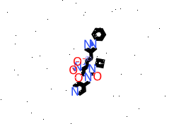 O=c1c([N+](=O)[O-])c(/C=C/c2cnn(-c3ccccc3)c2)n(C2CCC2)c(=O)n1Cc1ccncc1